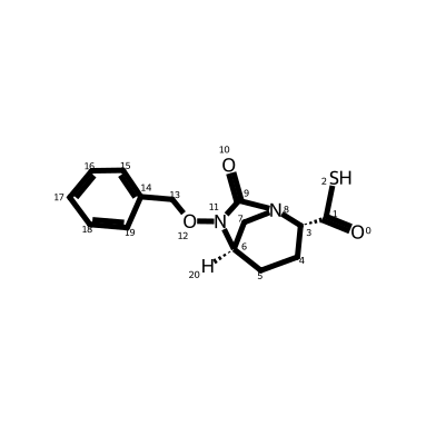 O=C(S)[C@@H]1CC[C@@H]2CN1C(=O)N2OCc1ccccc1